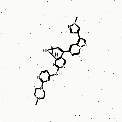 CN1CCN(c2cc(Nc3ncc4c(n3)C3N[C@H]3C=C4c3ccn4ncc(-c5cnn(C)c5)c4c3)ccn2)CC1